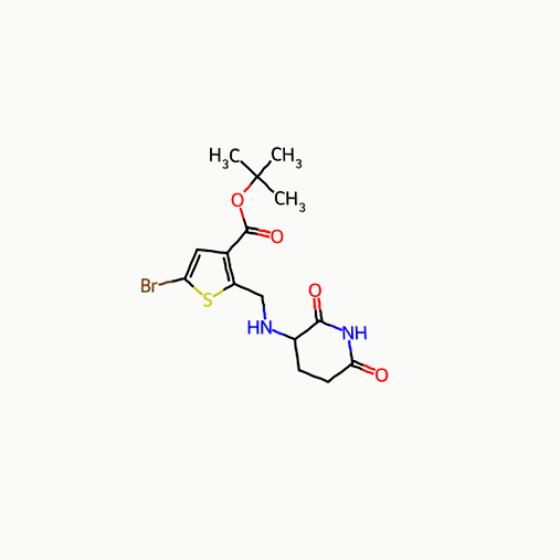 CC(C)(C)OC(=O)c1cc(Br)sc1CNC1CCC(=O)NC1=O